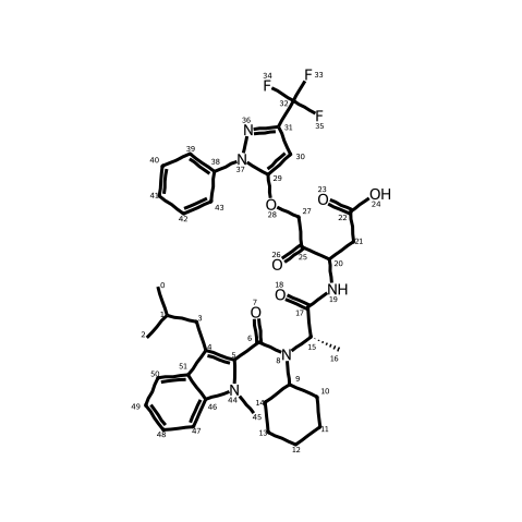 CC(C)Cc1c(C(=O)N(C2CCCCC2)[C@@H](C)C(=O)NC(CC(=O)O)C(=O)COc2cc(C(F)(F)F)nn2-c2ccccc2)n(C)c2ccccc12